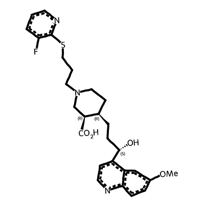 COc1ccc2nccc([C@@H](O)CC[C@@H]3CCN(CCCSc4ncccc4F)C[C@@H]3C(=O)O)c2c1